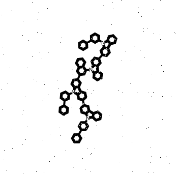 c1ccc(-c2ccc(-n3c4ccccc4c4cc(-c5ccc6c7cc(-c8cc(-n9c%10ccccc%10c%10cc(-c%11ccc%12c%13ccccc%13n(-c%13cccc(-c%14ccccc%14)c%13)c%12c%11)ccc%109)c9ccccc9c8)ccc7n(-c7cccc(-c8ccccc8)c7)c6c5)ccc43)cc2)cc1